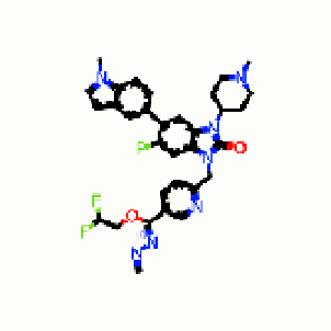 C=N/N=C(\OCC(F)F)c1ccc(Cn2c(=O)n(C3CCN(C)CC3)c3cc(-c4ccc5c(ccn5C)c4)c(F)cc32)nc1